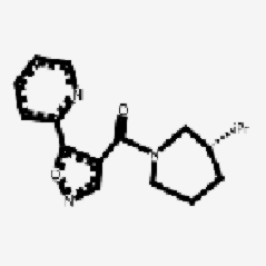 CC(C)[C@@H]1CCCN(C(=O)c2cnoc2-c2ccccn2)C1